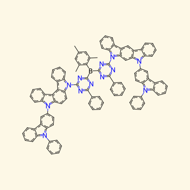 Cc1cc(C)c(B(c2nc(-c3ccccc3)nc(-n3c4ccccc4c4cc5c6ccccc6n(-c6ccc7c(c6)c6ccccc6n7-c6ccccc6)c5cc43)n2)c2nc(-c3ccccc3)nc(-n3c4ccccc4c4c5c6ccccc6n(-c6ccc7c(c6)c6ccccc6n7-c6ccccc6)c5ccc43)n2)c(C)c1